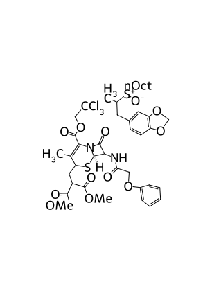 CCCCCCCC[S+]([O-])C(C)Cc1ccc2c(c1)OCO2.COC(=O)C(CC1S[C@@H]2C(NC(=O)COc3ccccc3)C(=O)N2C(C(=O)OCC(Cl)(Cl)Cl)=C1C)C(=O)OC